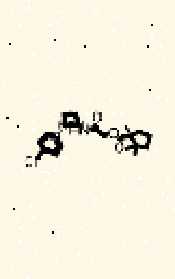 CC1(C)CCC[C@@]1(C)C(=O)OCC(=O)N[C@H]1CC[C@H]1c1ccc(Cl)cc1